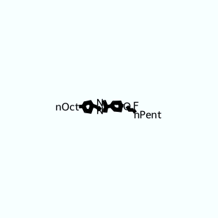 CCCCCCCCc1ccc(-c2ncc(-c3ccc(OCC(F)CCCCC)cc3)cn2)cc1